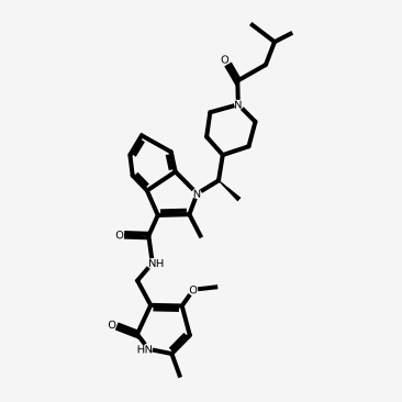 COc1cc(C)[nH]c(=O)c1CNC(=O)c1c(C)n([C@H](C)C2CCN(C(=O)CC(C)C)CC2)c2ccccc12